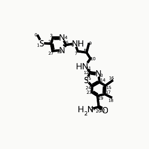 CSc1cnc(NCC(C)CNc2nc3c(C)c(C)c(C(N)=O)cc3s2)nc1